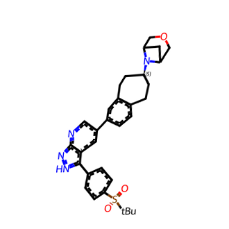 CC(C)(C)S(=O)(=O)c1ccc(-c2[nH]nc3ncc(-c4ccc5c(c4)CC[C@@H](N4C6COCC4C6)CC5)cc23)cc1